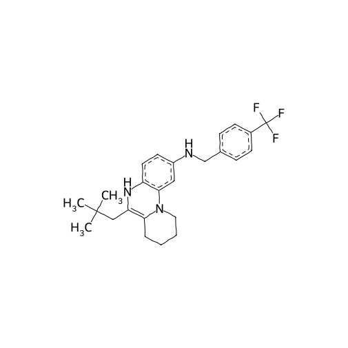 CC(C)(C)CC1=C2CCCCN2c2cc(NCc3ccc(C(F)(F)F)cc3)ccc2N1